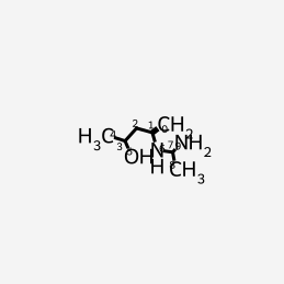 C=C(CC(C)O)NC(C)N